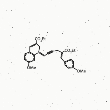 CCOC(=O)C(=Cc1ccc(OC)cc1)CC#CC=C1CC(C(=O)OCC)=Cc2ccc(OC)cc21